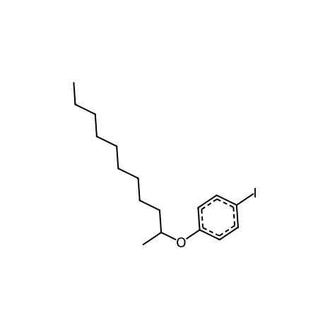 CCCCCCCCCC(C)Oc1ccc(I)cc1